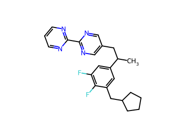 CC(Cc1cnc(-c2ncccn2)nc1)c1cc(F)c(F)c(CC2CCCC2)c1